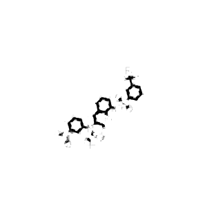 O=c1oc2c(OS(=O)(=O)c3cccc(C(F)(F)F)c3)cccc2cc1N(c1cccc([N+](=O)[O-])c1)[SH](=O)=O